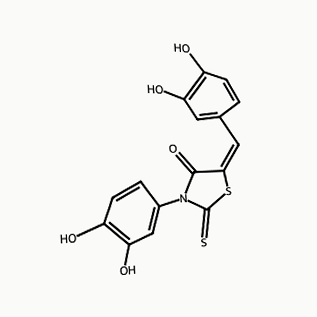 O=C1/C(=C\c2ccc(O)c(O)c2)SC(=S)N1c1ccc(O)c(O)c1